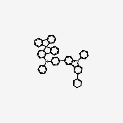 C1=CC(c2ccc3c(c2)c2cc(-c4ccc(N(c5ccccc5)c5cccc6c5-c5ccccc5C65c6ccccc6-c6ccccc65)cc4)ccc2n3-c2ccccc2)=CCC1